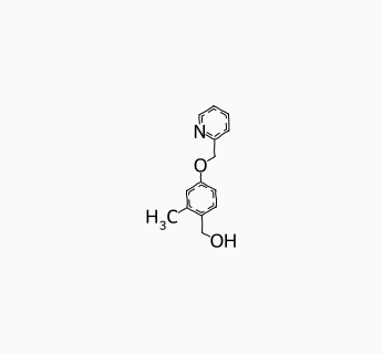 Cc1cc(OCc2ccccn2)ccc1CO